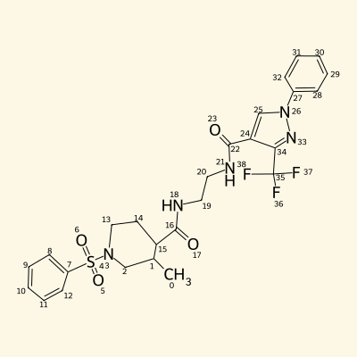 CC1CN(S(=O)(=O)c2ccccc2)CCC1C(=O)NCCNC(=O)c1cn(-c2ccccc2)nc1C(F)(F)F